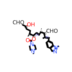 C/C(=C\c1ccc2cnn(C)c2c1)[C@@H](C=O)[C@@H](C)/C=C/[C@H](OC(=O)N1CCN(C)CC1)[C@@H](C)CC[C@@H](O)CC=O